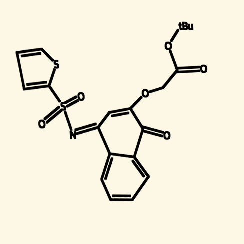 CC(C)(C)OC(=O)COC1=CC(=NS(=O)(=O)c2cccs2)c2ccccc2C1=O